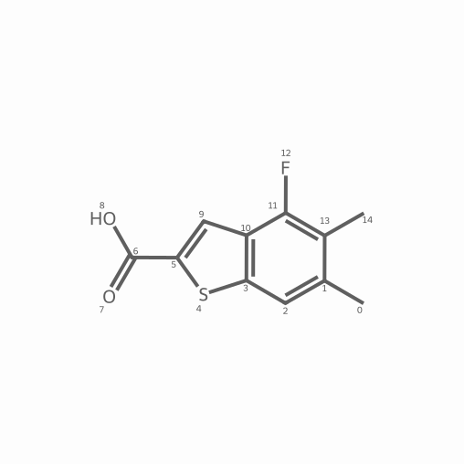 Cc1cc2sc(C(=O)O)cc2c(F)c1C